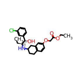 CCOC(=O)COc1ccc2c(c1)CC(N[C@@H](CC)[C@@H](O)c1cccc(Cl)c1)CC2